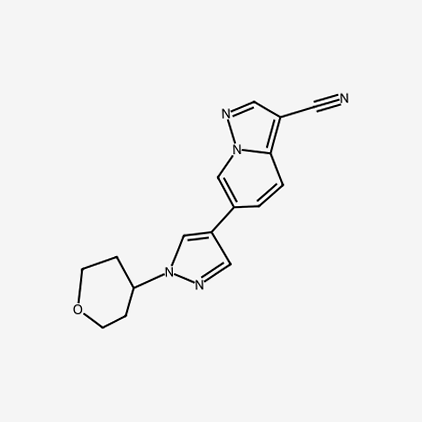 N#Cc1cnn2cc(-c3cnn(C4CCOCC4)c3)ccc12